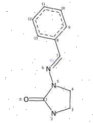 O=C1[N]CCN1/N=C/c1ccccc1